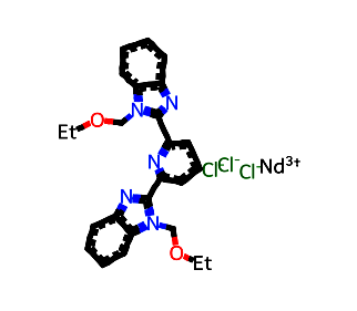 CCOCn1c(-c2cccc(-c3nc4ccccc4n3COCC)n2)nc2ccccc21.[Cl-].[Cl-].[Cl-].[Nd+3]